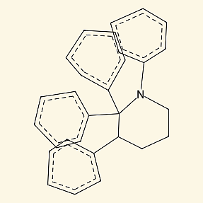 c1ccc(C2CCCN(c3ccccc3)C2(c2ccccc2)c2ccccc2)cc1